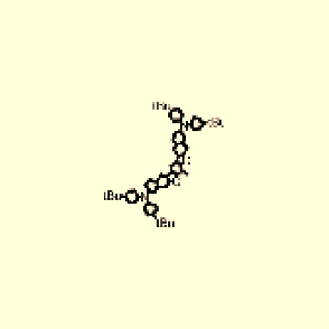 Cc1c2oc3cc4cc(N(c5ccc(C(C)(C)C)cc5)c5ccc(C(C)(C)C)cc5)ccc4cc3c2cc2c1oc1cc3cc(N(c4ccc(C(C)(C)C)cc4)c4ccc(C(C)(C)C)cc4)ccc3cc12